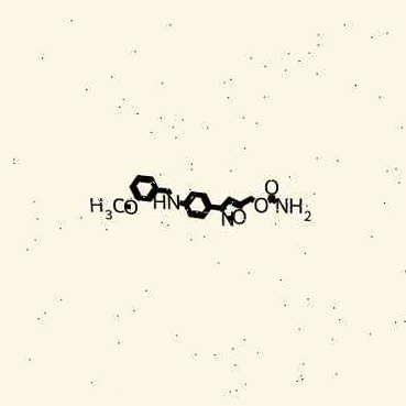 COc1cccc(CNc2ccc(-c3cc(COC(N)=O)on3)cc2)c1